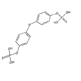 OP(O)(=S)Oc1ccc(Sc2ccc(OP(O)(O)=S)cc2)cc1